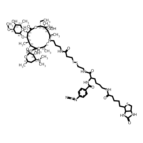 CC[C@H]1OC(=O)[C@H](C)[C@@H](O[C@H]2C[C@@H](OC)[C@@H](O)[C@H](C)O2)[C@H](C)[C@@H](O[C@@H]2O[C@H](C)C[C@H](N(C)C)[C@H]2O)[C@](C)(O)C[C@@H](C)CN(CCCNC(=O)CCSSCCNC(=O)C(CCCCNC(=O)CCCCC2SCC3NC(=O)NC32)NC(=O)c2ccc(N=[N+]=[N-])cc2)[C@H](C)[C@@H](O)[C@]1(C)O